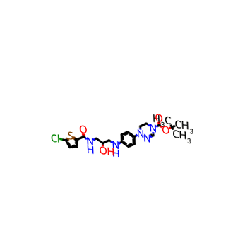 CC(C)(C)OC(=O)N1C=NN(c2ccc(NCC(O)CNC(=O)c3ccc(Cl)s3)cc2)CC1